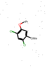 CCCOc1cc(OC)c(Cl)cc1Cl